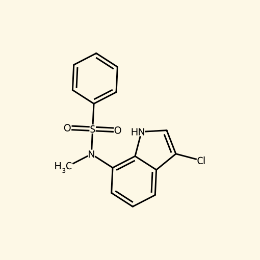 CN(c1cccc2c(Cl)c[nH]c12)S(=O)(=O)c1ccccc1